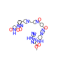 CCOC(=O)c1cnc(Nc2cnn(C)c2)nc1NC1CCC(N2CCN(C(=O)C3CCC(C(=O)N4CCC(CCN5CCC(c6cccc7c6n(C)c(=O)n7C6CCC(=O)NC6=O)CC5)CC4)CC3)CC2)CC1